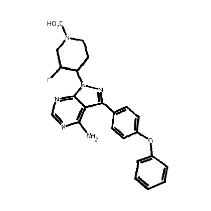 Nc1ncnc2c1c(-c1ccc(Oc3ccccc3)cc1)nn2C1CCN(C(=O)O)CC1F